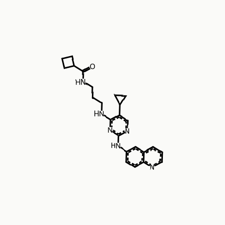 O=C(NCCCNc1nc(Nc2ccc3ncccc3c2)ncc1C1CC1)C1CCC1